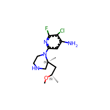 CO[C@@H](C)C[C@@]1(C)CNCCN1c1cc(N)c(Cl)c(F)n1